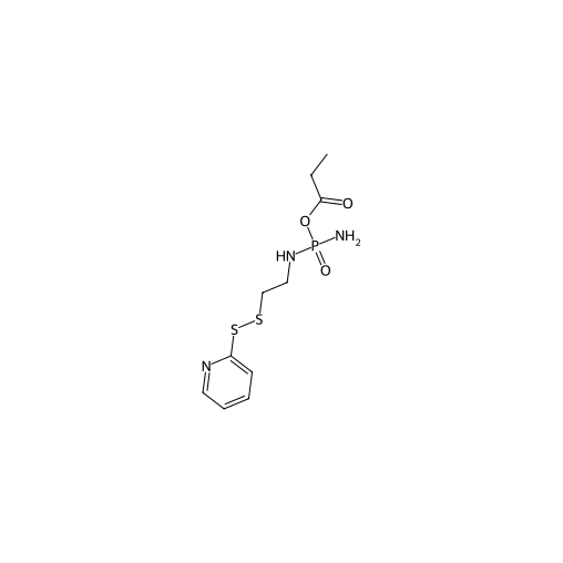 CCC(=O)OP(N)(=O)NCCSSc1ccccn1